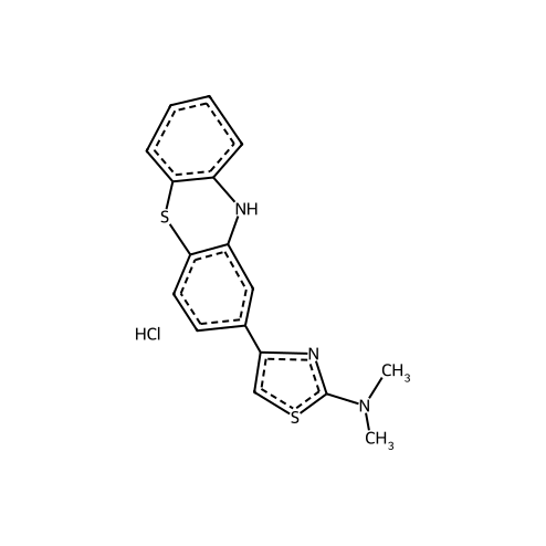 CN(C)c1nc(-c2ccc3c(c2)Nc2ccccc2S3)cs1.Cl